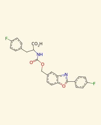 O=C(NC(Cc1ccc(F)cc1)C(=O)O)OCc1ccc2oc(-c3ccc(F)cc3)nc2c1